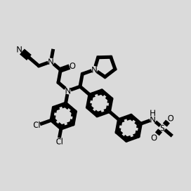 CN(CC#N)C(=O)CN(c1ccc(Cl)c(Cl)c1)C(CN1CCCC1)c1ccc(-c2cccc(NS(C)(=O)=O)c2)cc1